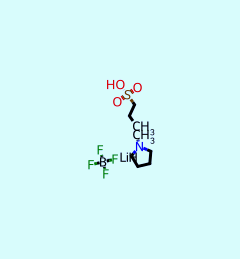 CCCS(=O)(=O)O.CN1CCCC1.F[B-](F)(F)F.[LiH]